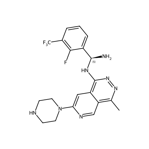 Cc1nnc(N[C@H](N)c2cccc(C(F)(F)F)c2F)c2cc(N3CCNCC3)ncc12